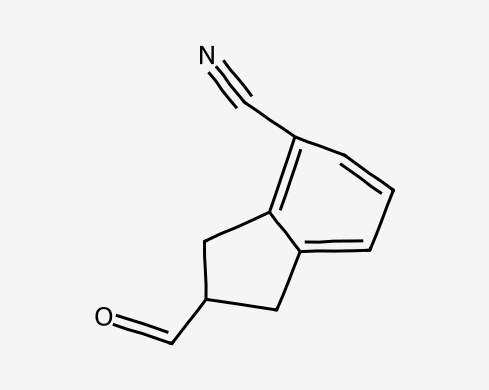 N#Cc1cccc2c1CC(C=O)C2